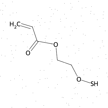 C=CC(=O)OCCOS